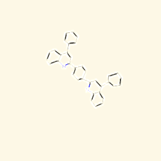 c1ccc(-c2cc(-c3ccc(-c4cc(-c5ccccc5)c5ccccc5n4)cc3)nc3ccccc23)cc1